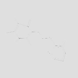 CC1=C(C)C(=O)C(CCNc2ncccc2C(F)(F)F)=C(C)C1=O